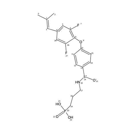 CC(C)=Cc1cc(F)c(Oc2ccc([S+]([O-])NCCCP(=O)(O)O)cc2)c(F)c1